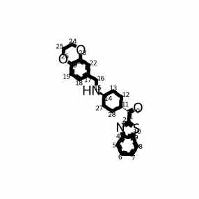 O=C(c1nc2ccccc2s1)[C@H]1CC[C@H](NCc2ccc3c(c2)OCCO3)CC1